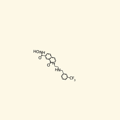 O=C(NO)c1ccc2ccn(CCNCc3cccc(C(F)(F)F)c3)c(=O)c2c1